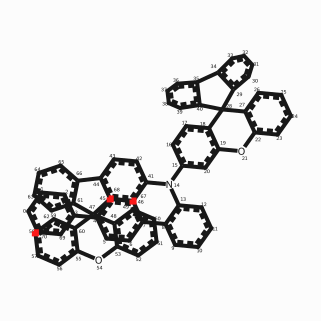 c1ccc(-c2ccc(-c3ccccc3N(c3ccc4c(c3)Oc3ccccc3C43c4ccccc4-c4ccccc43)c3ccc4c(c3)C3(c5ccccc5Oc5ccccc53)c3ccccc3-4)cc2)cc1